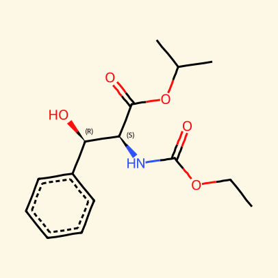 CCOC(=O)N[C@H](C(=O)OC(C)C)[C@H](O)c1ccccc1